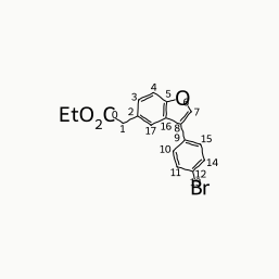 CCOC(=O)Cc1ccc2occ(-c3ccc(Br)cc3)c2c1